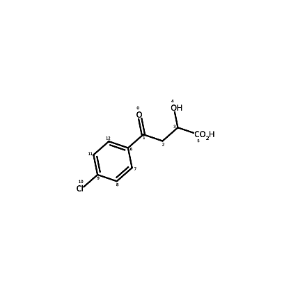 O=C(CC(O)C(=O)O)c1ccc(Cl)cc1